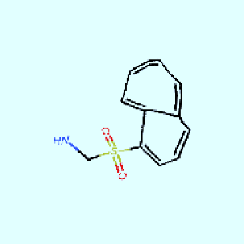 [NH]CS(=O)(=O)c1cccc2ccccc12